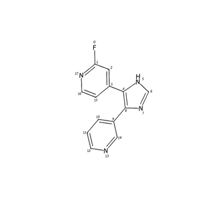 Fc1cc(-c2[nH]cnc2-c2cccnc2)ccn1